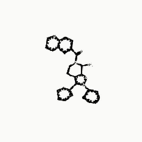 N[C@H]1c2nn(-c3ccccc3)c(-c3ccccc3)c2CCN1C(=O)c1ccc2ncccc2c1